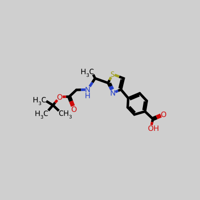 CC(NCC(=O)OC(C)(C)C)c1nc(-c2ccc(C(=O)O)cc2)cs1